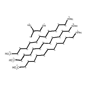 CC(O)CO.CCCCCCCCCCCCCCCCCCCCCC(=O)O.CCCCCCCCCCCCCCCCCCCCCC(=O)O.CCCCCCCCCCCCCCCCCCCCCC(=O)O